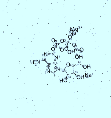 Nc1ncnc2c1ncn2[C@@H]1O[C@H](CO)[C@@H](O)[C@H]1O.O=P([O-])([O-])OP(=O)([O-])OP(=O)([O-])O.[Mg+2].[Na+].[Na+]